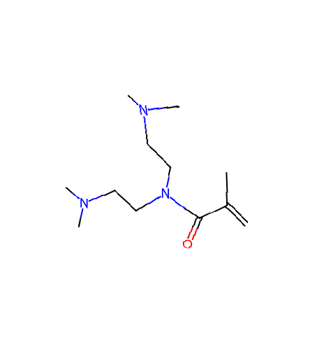 C=C(C)C(=O)N(CCN(C)C)CCN(C)C